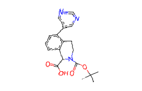 CC(C)(C)OC(=O)N1CCc2c(-c3cncnc3)cccc2C1C(=O)O